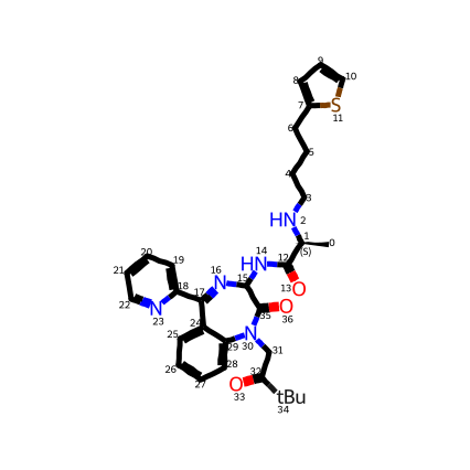 C[C@H](NCCCCc1cccs1)C(=O)NC1N=C(c2ccccn2)c2ccccc2N(CC(=O)C(C)(C)C)C1=O